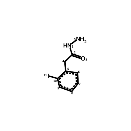 NNC(=O)Cc1ccccc1I